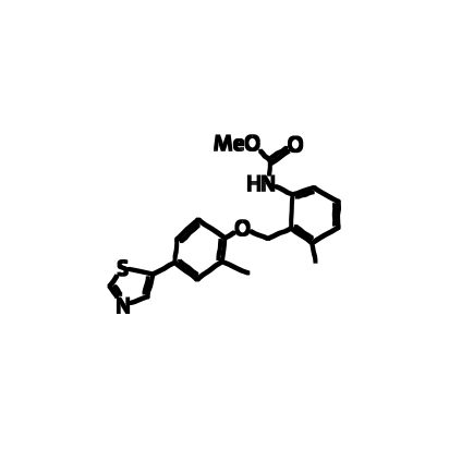 COC(=O)Nc1cccc(C)c1COc1ccc(-c2cncs2)cc1C